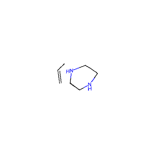 C1CNCCN1.C=CC